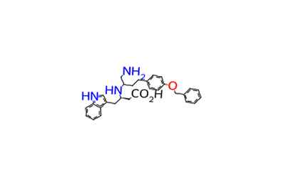 NCC(CCc1ccc(OCc2ccccc2)cc1)N[C@@H](CC(=O)O)Cc1c[nH]c2ccccc12